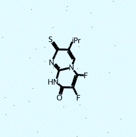 CC(C)c1cn2c(F)c(F)c(=O)[nH]c2nc1=S